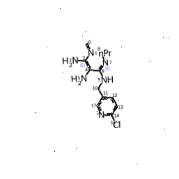 C=N/C(N)=C(N)\C(=N/CCC)NCc1ccc(Cl)nc1